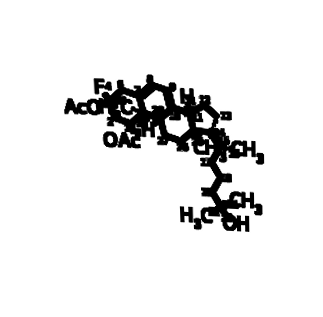 CC(=O)OC1CC(F)(OC(C)=O)CC2=CC=C3[C@@H]4CC[C@H]([C@H](C)CCCC(C)(C)O)[C@@]4(C)CC[C@@H]3[C@]21C